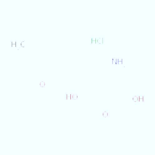 C=CC(=O)C[C@@H](O)[C@H](N)C(=O)O.Cl